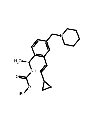 C[C@H](NC(=O)OC(C)(C)C)c1ccc(CN2CCCCC2)cc1/C=C/C1CC1